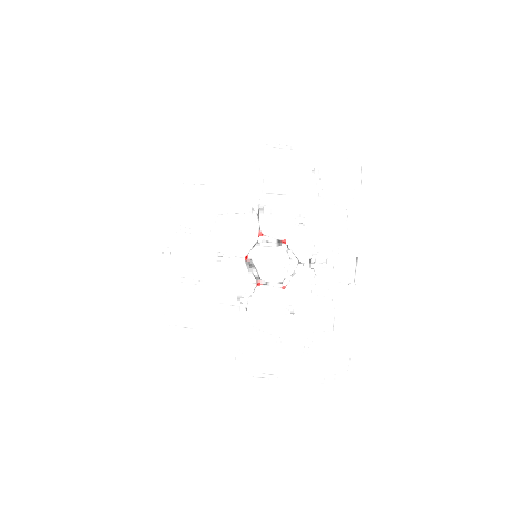 CC(C)c1cc(C(C)C)c(B2c3c(cccc3N3c4ccccc4[Si]4(c5ccccc5-c5ccccc54)c4ccccc43)Oc3cccc(N4c5ccccc5[Si]5(c6ccccc6-c6ccccc65)c5ccccc54)c32)c(C(C)C)c1